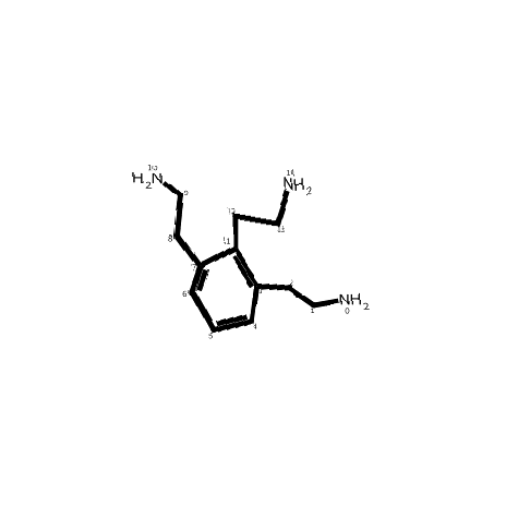 NCCc1cccc(CCN)c1CCN